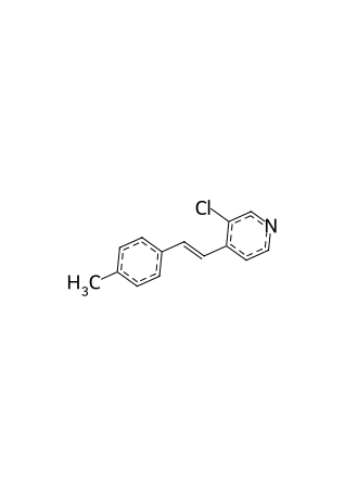 Cc1ccc(C=Cc2ccncc2Cl)cc1